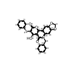 O=c1oc2c(c(O)c1Sc1ccccc1)c(=O)n(Cc1ccccc1)c1cc3c(cc21)OCO3